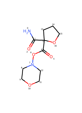 NC(=O)C1(C(=O)ON2CCOCC2)CCCO1